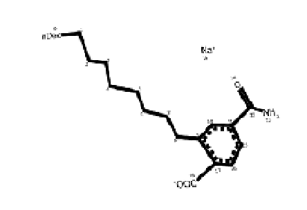 CCCCCCCCCCCCCCCCCCc1cc(C(N)=O)ccc1C(=O)[O-].[Na+]